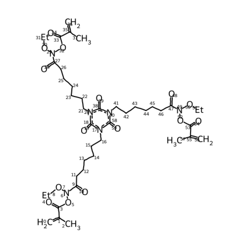 C=C(C)C(=O)ON(OCC)C(=O)CCCCCCn1c(=O)n(CCCCCCC(=O)N(OCC)OC(=O)C(=C)C)c(=O)n(CCCCCCC(=O)N(OCC)OC(=O)C(=C)C)c1=O